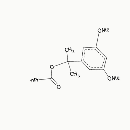 CC[CH]C(=O)OC(C)(C)c1cc(OC)cc(OC)c1